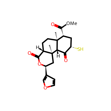 COC(=O)[C@@H]1C[C@H](S)C(=O)[C@H]2[C@@]1(C)CC[C@H]1C(=O)O[C@H](c3ccoc3)C[C@]21C